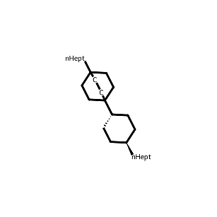 CCCCCCCC12CCC([C@H]3CC[C@H](CCCCCCC)CC3)(CC1)CC2